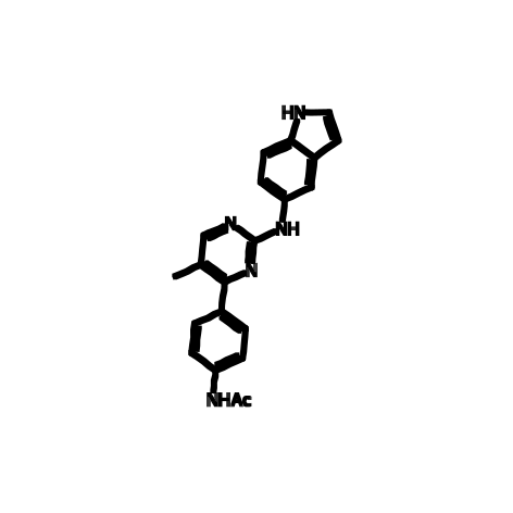 CC(=O)Nc1ccc(-c2nc(Nc3ccc4[nH]ccc4c3)ncc2C)cc1